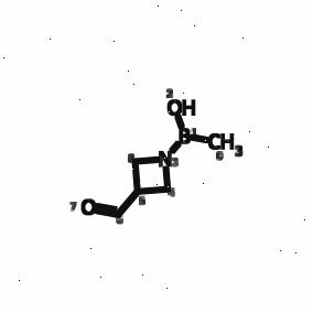 CB(O)N1CC(C=O)C1